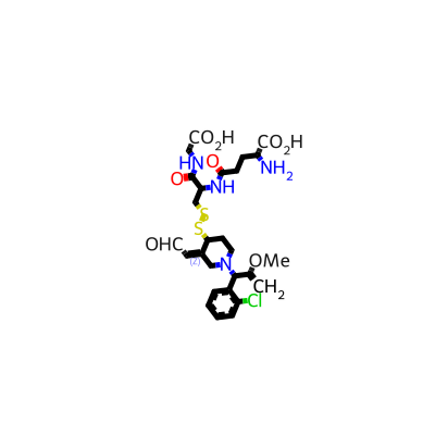 C=C(OC)C(c1ccccc1Cl)N1CCC(SSCC(NC(=O)CCC(N)C(=O)O)C(=O)NCC(=O)O)/C(=C\C=O)C1